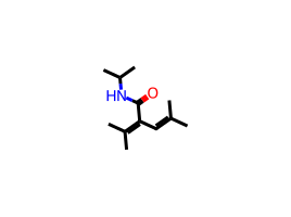 CC(C)=CC(C(=O)NC(C)C)=C(C)C